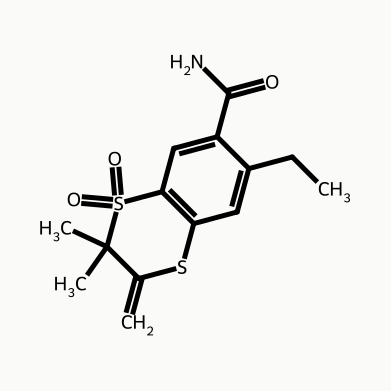 C=C1Sc2cc(CC)c(C(N)=O)cc2S(=O)(=O)C1(C)C